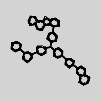 c1ccc(-c2cccc(-c3ccc(N(c4ccc(-c5ccc(-c6ccc7ccccc7c6)cc5)cc4)c4ccc(-c5cccc6oc7c8ccccc8ccc7c56)cc4)cc3)c2)cc1